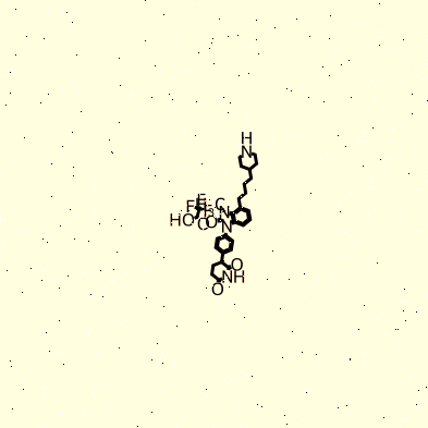 Cn1c(=O)n(-c2ccc(C3CCC(=O)NC3=O)cc2)c2cccc(CCCCC3CCNCC3)c21.O=C(O)C(F)(F)F